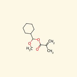 C=C(C)C(=O)OC(OC)C1CCCCC1